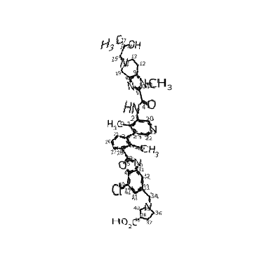 Cc1c(NC(=O)c2nc3c(n2C)CCN(C[C@H](C)O)C3)cncc1-c1cccc(-c2nc3cc(CN4CC[C@@H](C(=O)O)C4)cc(Cl)c3o2)c1C